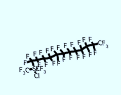 FC(F)(F)C(F)(F)C(F)(F)C(F)(F)C(F)(F)C(F)(F)C(F)(F)C(F)(F)C(F)(F)C(F)(F)C(F)(F)C(F)(F)[Si](Cl)(C(F)(F)F)C(F)(F)F